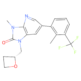 Cc1c(-c2cnc3c(c2)n(C[C@H]2CCO2)c(=O)n3C)cccc1C(F)(F)F